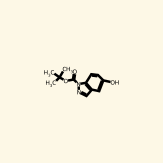 CC(C)(C)OC(=O)n1ncc2cc(O)ccc21